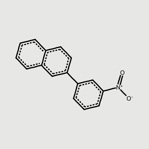 O=[N+]([O-])c1cccc(-c2ccc3ccccc3c2)c1